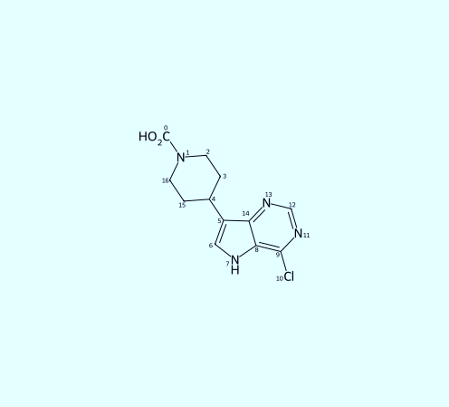 O=C(O)N1CCC(c2c[nH]c3c(Cl)ncnc23)CC1